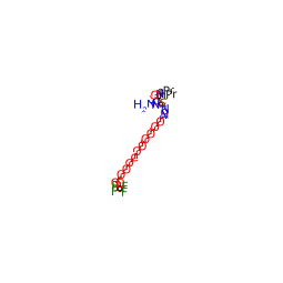 CCCN(CCC)C(=O)C1=Cc2sc(CN3CCN(CCOCCOCCOCCOCCOCCOCCOCCOCCOCCOCCC(=O)Oc4c(F)c(F)cc(F)c4F)CC3)cc2N=C(N)C1